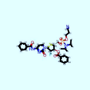 CC(C)N(C(C)C)P(=O)(OCCC#N)OC[C@H]1S[C@@H](n2ccc(NC(=O)c3ccccc3)nc2=O)[C@@H](F)[C@@H]1OC(=O)c1ccccc1